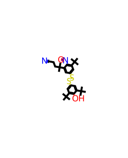 CC(C)(C)c1cc(SSc2cc(C(C)(C)C)c(N=O)c(C(C)(C)CCC#N)c2)cc(C(C)(C)C)c1O